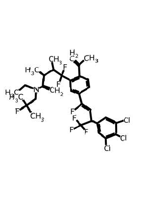 C=C(C)c1ccc(/C(F)=C/C(c2cc(Cl)c(Cl)c(Cl)c2)C(F)(F)F)cc1C(F)(F)C(C)C(C)C(=C)N(CC)CC(C)(C)F